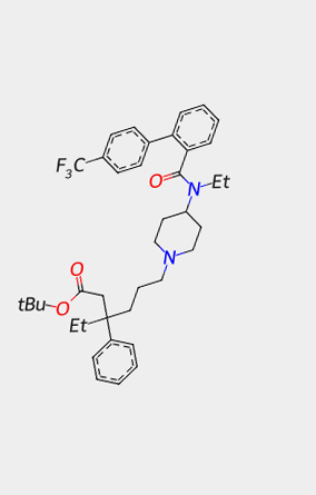 CCN(C(=O)c1ccccc1-c1ccc(C(F)(F)F)cc1)C1CCN(CCCC(CC)(CC(=O)OC(C)(C)C)c2ccccc2)CC1